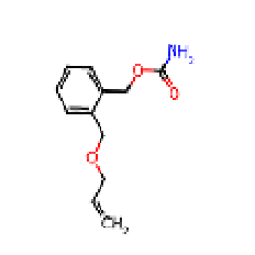 C=CCOCc1ccccc1COC(N)=O